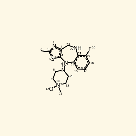 Cc1nc2c(s1)N(N1CC[N+](C)([O-])CC1)c1cccc(F)c1NC2